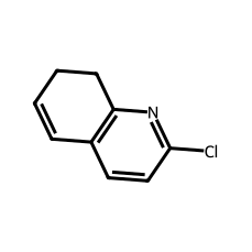 Clc1ccc2c(n1)CCC=C2